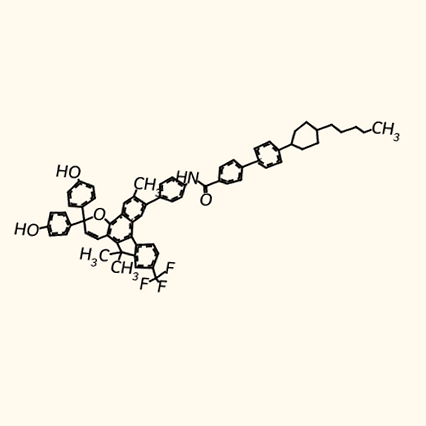 CCCCCC1CCC(c2ccc(-c3ccc(C(=O)Nc4ccc(-c5cc6c7c(c8c(c6cc5C)OC(c5ccc(O)cc5)(c5ccc(O)cc5)C=C8)C(C)(C)c5cc(C(F)(F)F)ccc5-7)cc4)cc3)cc2)CC1